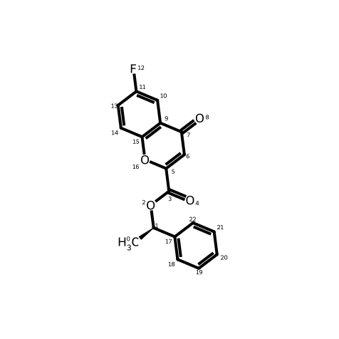 C[C@@H](OC(=O)c1cc(=O)c2cc(F)ccc2o1)c1ccccc1